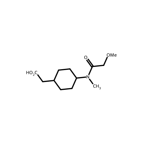 COCC(=O)N(C)C1CCC(CC(=O)O)CC1